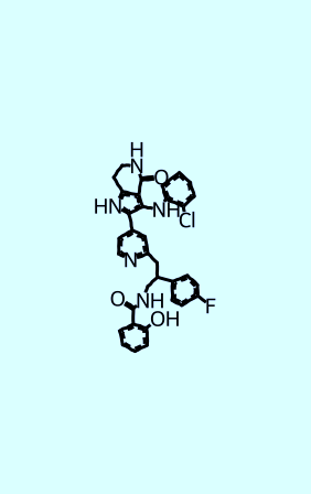 O=C(NCC(Cc1cc(-c2[nH]c3c(c2Nc2ccccc2Cl)C(=O)NCC3)ccn1)c1ccc(F)cc1)c1ccccc1O